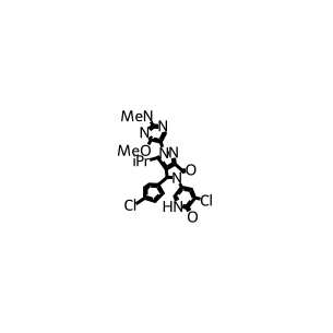 CNc1ncc(-n2nc3c(c2C(C)C)C(c2ccc(Cl)cc2)N(c2c[nH]c(=O)c(Cl)c2)C3=O)c(OC)n1